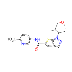 CC1COCCC1n1ncc2cc(C(=O)Nc3ccc(C(=O)O)nc3)sc21